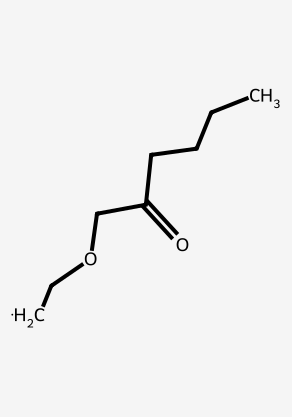 [CH2]COCC(=O)CCCC